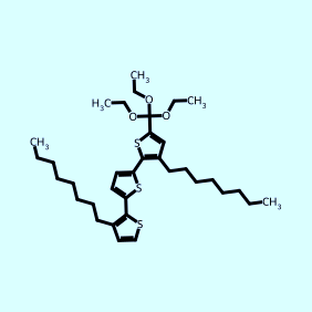 CCCCCCCCc1ccsc1-c1ccc(-c2sc(C(OCC)(OCC)OCC)cc2CCCCCCCC)s1